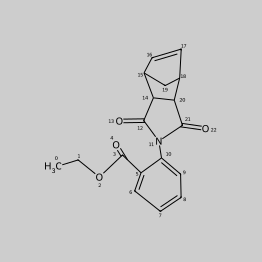 CCOC(=O)c1ccccc1N1C(=O)C2C3C=CC(C3)C2C1=O